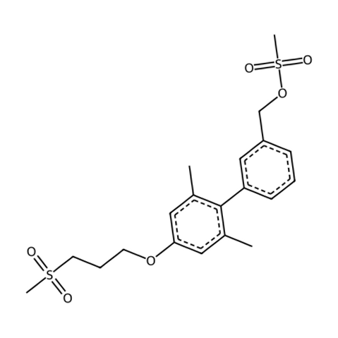 Cc1cc(OCCCS(C)(=O)=O)cc(C)c1-c1cccc(COS(C)(=O)=O)c1